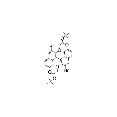 CC(C)(C)OC(=O)COc1c(Br)cc2ccccc2c1-c1c(OCC(=O)OC(C)(C)C)c(Br)cc2ccccc12